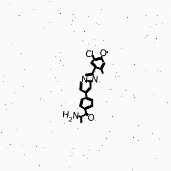 COc1cc(C)c(-c2cn3ccc(-c4ccc(C(=O)C(C)N)cc4)cc3n2)cc1Cl